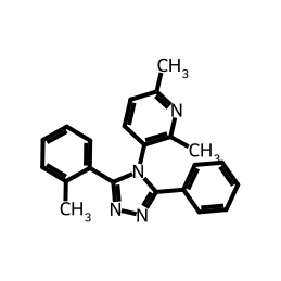 Cc1ccc(-n2c(-c3ccccc3)nnc2-c2ccccc2C)c(C)n1